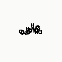 Clc1nnc(N[C@@H]2CC3CN(CC4CCOCC4)C[C@H]3C2)c2ccsc12